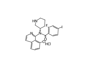 Cl.O=C(c1ccc(I)cc1F)N(c1nccc2cccc(Cl)c12)[C@@H]1CCCNC1